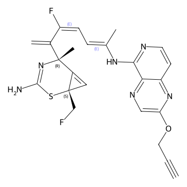 C#CCOc1cnc2c(N/C(C)=C/C=C(/F)C(=C)[C@@]3(C)N=C(N)S[C@@]4(CF)C=C34)nccc2n1